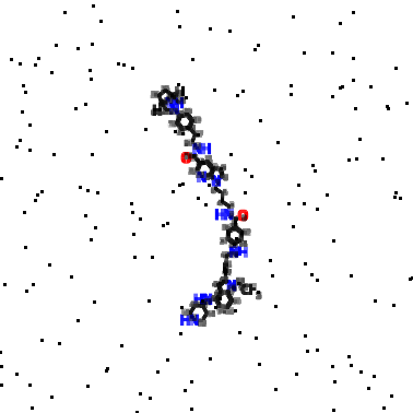 O=C(NCCCCn1ccc2cc(C(=O)NCCc3ccc(N4C[C@H]5CC[C@@H](C4)N5)cc3)cnc21)c1ccc(NCC#Cc2cc3c(NC4CCNCC4)cccc3n2CC(F)(F)F)cc1